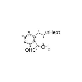 C=CC=O.CCCCCCCCCc1ccccc1